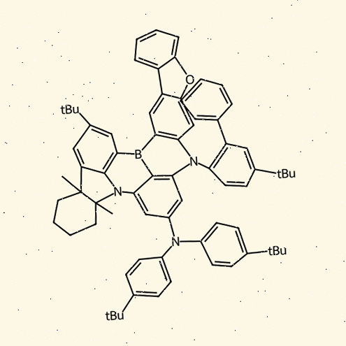 CC(C)(C)c1ccc(N(c2ccc(C(C)(C)C)cc2)c2cc3c4c(c2)N2c5c(cc(C(C)(C)C)cc5C5(C)CCCCC25C)B4c2cc4c(cc2N3c2ccc(C(C)(C)C)cc2-c2ccccc2)oc2ccccc24)cc1